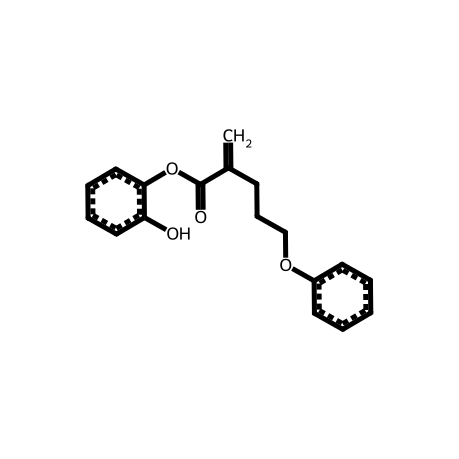 C=C(CCCOc1ccccc1)C(=O)Oc1ccccc1O